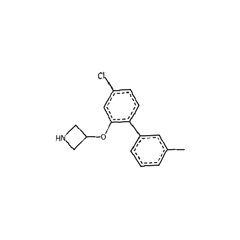 Cc1cccc(-c2ccc(Cl)cc2OC2CNC2)c1